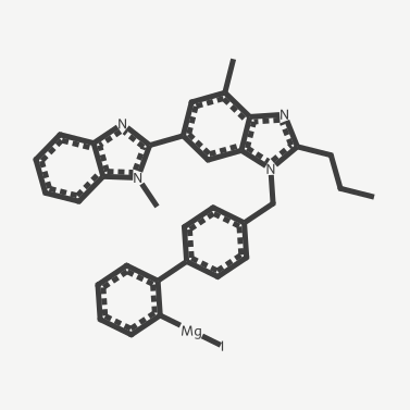 CCCc1nc2c(C)cc(-c3nc4ccccc4n3C)cc2n1Cc1ccc(-c2cccc[c]2[Mg][I])cc1